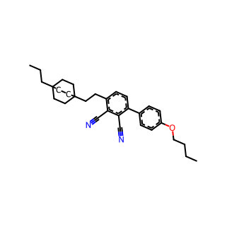 CCCCOc1ccc(-c2ccc(CCC34CCC(CCC)(CC3)CC4)c(C#N)c2C#N)cc1